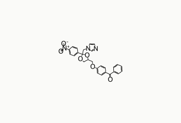 O=C(c1ccccc1)c1ccc(OCC2COC(Cn3ccnc3)(c3ccc([N+](=O)[O-])cc3)O2)cc1